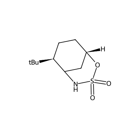 CC(C)(C)[C@H]1CC[C@H]2CC1NS(=O)(=O)O2